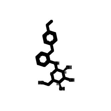 CCc1ccc(Cc2ccccc2NC2OC(CO)[C@@H](O)C(O)[C@H]2O)cc1